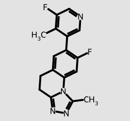 Cc1c(F)cncc1-c1cc2c(cc1F)-n1c(C)nnc1CC2